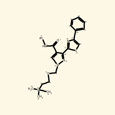 CC(C)NC(=O)c1cn(COCC[Si](C)(C)C)nc1-c1nc(-c2ccccc2)cs1